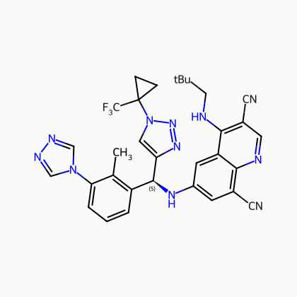 Cc1c([C@H](Nc2cc(C#N)c3ncc(C#N)c(NCC(C)(C)C)c3c2)c2cn(C3(C(F)(F)F)CC3)nn2)cccc1-n1cnnc1